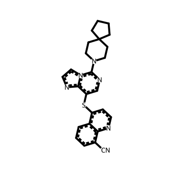 N#Cc1cccc2c(Sc3cnc(N4CCC5(CCCC5)CC4)n4ccnc34)ccnc12